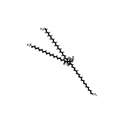 CCCCCCCCCCCCCCCCCCCC(=O)C(O)(CO)C(O)(C(=O)CCCCCCCCCCCCCCCCCCC)C(=O)CCCCCCCCCCCCCCCCCCC